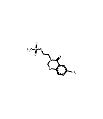 Cc1ccc2c(c1)C(=O)N(CCOS(C)(=O)=O)CO2